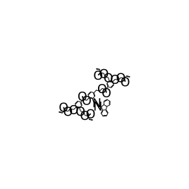 C=CC(=O)OCOc1ccc(C(=O)OCCc2ccc(OC(=O)c3ccc(OCOC(=O)C=C)c(OCOC(=O)C=C)c3)c(/C=N/N=C3/c4ccccc4C4C=CC=CC34)c2)cc1OCOC(=O)C=C